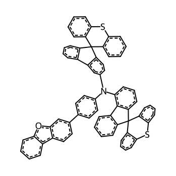 c1ccc2c(c1)Sc1ccccc1C21c2ccccc2-c2cc(N(c3ccc(-c4ccc5c(c4)oc4ccccc45)cc3)c3cccc4c3-c3ccccc3C43c4ccccc4Sc4ccccc43)ccc21